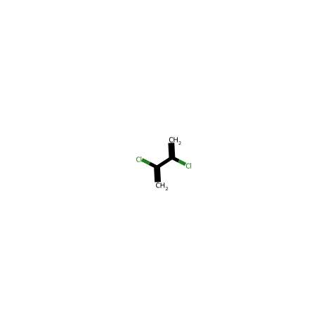 C=C(Cl)C(=C)Cl